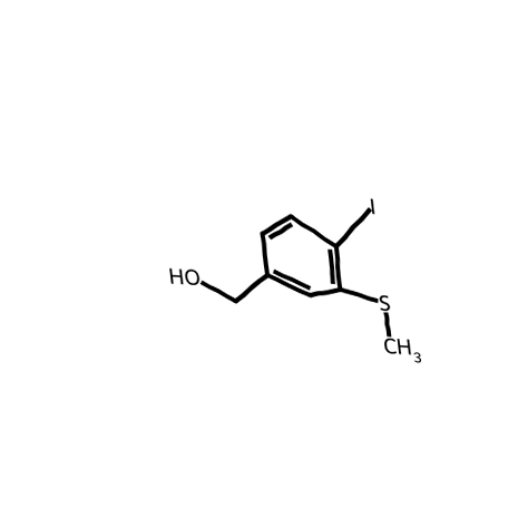 CSc1cc(CO)ccc1I